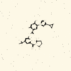 CCC(Cl)(CC)c1cc(NC(=O)c2cc(-n3cnc(C4CC4)c3)c(C)cc2F)nc(C(=N)N2C(=N)CC[C@@H]2C)c1